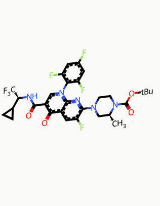 C[C@H]1CN(c2nc3c(cc2F)c(=O)c(C(=O)N[C@@H](C2CC2)C(F)(F)F)cn3-c2c(F)cc(F)cc2F)CCN1C(=O)OC(C)(C)C